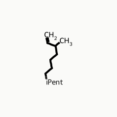 C=CC(C)CCCCC(C)CCC